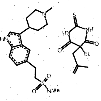 C=C(C)CC1(CC)C(=O)NC(=S)NC1=O.CNS(=O)(=O)CCc1ccc2[nH]cc(C3CCN(C)CC3)c2c1